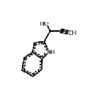 C#CC(O)c1cc2ccccc2[nH]1